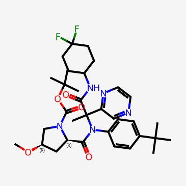 CO[C@@H]1C[C@H](C(=O)N(c2ccc(C(C)(C)C)cc2)C(C)(C(=O)NC2CCC(F)(F)CC2)c2cnccn2)N(C(=O)OC(C)(C)C)C1